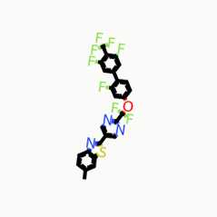 Cc1ccc2nc(-c3cnc(C(F)(F)Oc4ccc(-c5cc(F)c(C(F)(F)F)c(F)c5)c(F)c4)nc3)sc2c1